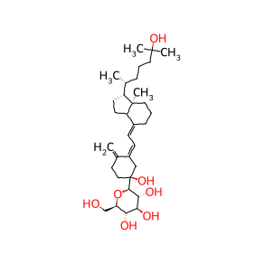 C=C1CC[C@@](O)([C@@H]2O[C@H](CO)[C@@H](O)[C@H](O)[C@H]2O)C/C1=C/C=C1CCC[C@@]2(C)C1CC[C@@H]2[C@H](C)CCCC(C)(C)O